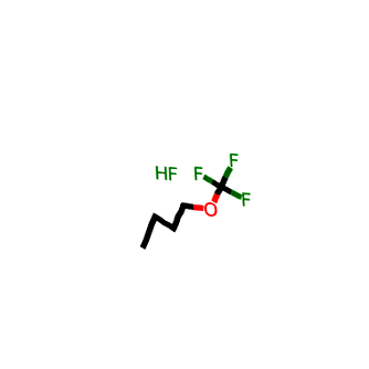 CCCCOC(F)(F)F.F